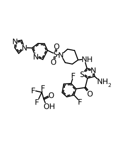 Nc1nc(NC2CCN(S(=O)(=O)c3ccc(-n4ccnc4)nc3)CC2)sc1C(=O)c1c(F)cccc1F.O=C(O)C(F)(F)F